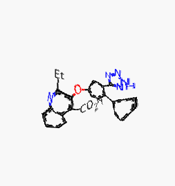 CCc1nc2ccccc2c(C(=O)O)c1Oc1ccc(-c2ccccc2)c(-c2nnn[nH]2)c1